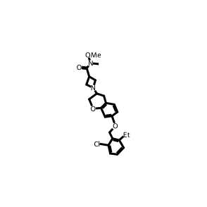 CCc1cccc(Cl)c1COc1ccc2c(c1)OCC(N1CC(C(=O)N(C)OC)C1)C2